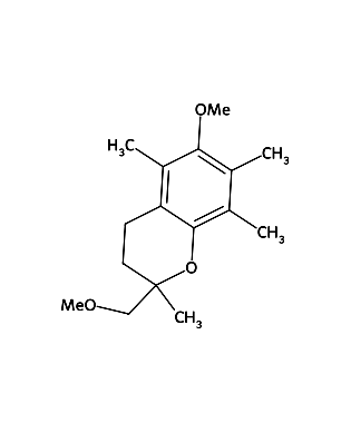 COCC1(C)CCc2c(C)c(OC)c(C)c(C)c2O1